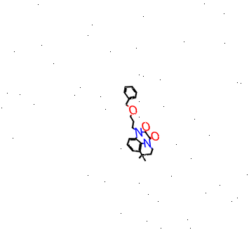 CC1(C)CCn2c(=O)c(=O)n(CCCOCc3ccccc3)c3cccc1c32